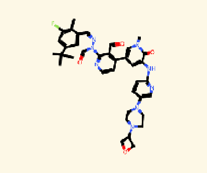 Cc1c(F)cc(C(C)(C)C)cc1/C=N\N(C=O)c1nccc(-c2cc(Nc3ccc(N4CCN(C5COC5)CC4)cn3)c(=O)n(C)c2)c1C=O